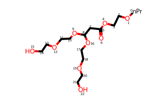 CCCOCCOC(=O)CC(OCCOCCO)OCCOCCO